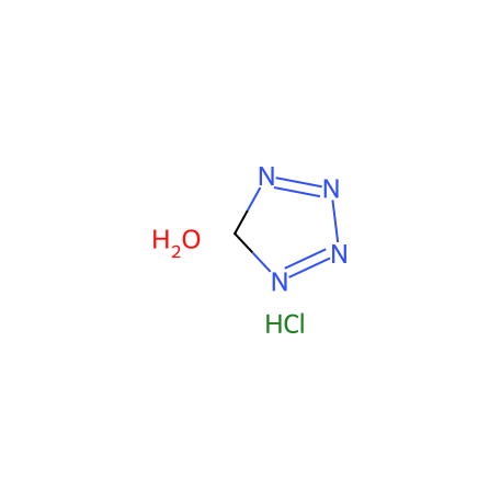 C1N=NN=N1.Cl.O